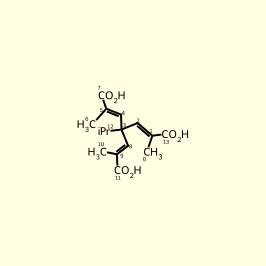 CC(=CC(C=C(C)C(=O)O)(C=C(C)C(=O)O)C(C)C)C(=O)O